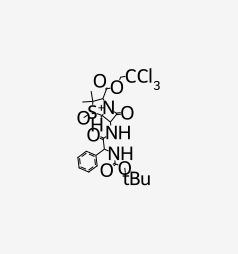 CC(C)(C)OC(=O)NC(C(=O)NC1C(=O)N2C(C(=O)OCC(Cl)(Cl)Cl)C(C)(C)[S+]([O-])[C@@H]12)c1ccccc1